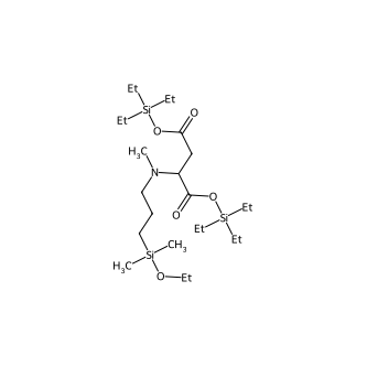 CCO[Si](C)(C)CCCN(C)C(CC(=O)O[Si](CC)(CC)CC)C(=O)O[Si](CC)(CC)CC